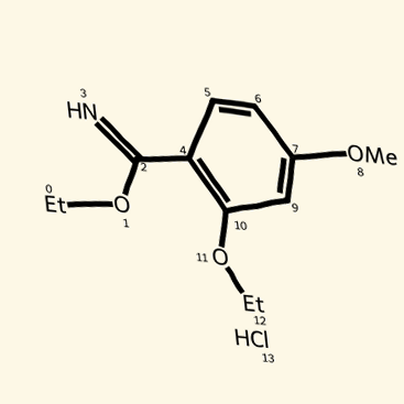 CCOC(=N)c1ccc(OC)cc1OCC.Cl